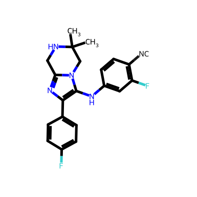 [C-]#[N+]c1ccc(Nc2c(-c3ccc(F)cc3)nc3n2CC(C)(C)NC3)cc1F